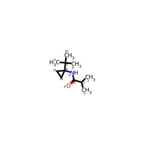 CC(C)C(=O)NC1(C(C)(C)C)CC1